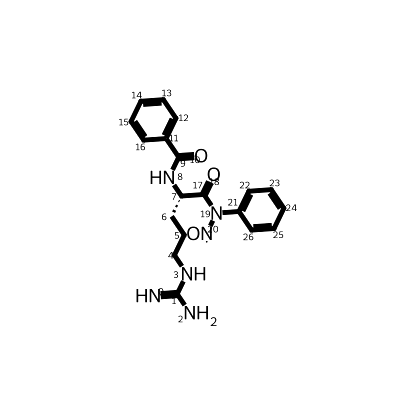 N=C(N)NCCC[C@H](NC(=O)c1ccccc1)C(=O)N([N+]=O)c1ccccc1